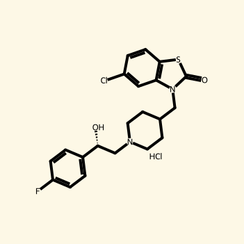 Cl.O=c1sc2ccc(Cl)cc2n1CC1CCN(C[C@@H](O)c2ccc(F)cc2)CC1